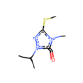 CSc1nn(C(C)C)c(=O)n1C